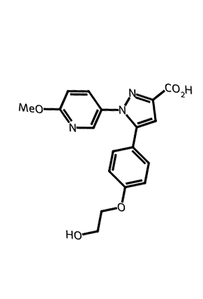 COc1ccc(-n2nc(C(=O)O)cc2-c2ccc(OCCO)cc2)cn1